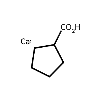 O=C(O)C1CCCC1.[Ca]